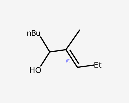 CC/C=C(\C)C(O)CCCC